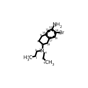 CCCN(CCC)C1CCc2cc(N)c(Br)cc2C1